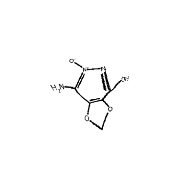 Nc1c2c(c(O)n[n+]1[O-])OCO2